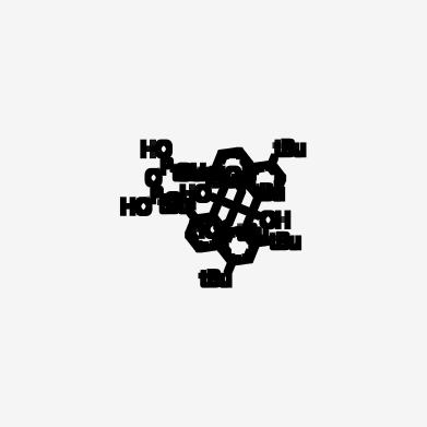 CC(C)(C)c1ccc(C(O)(c2ccc(C(C)(C)C)cc2C(C)(C)C)C(CO)(CO)C(O)(c2c(C(C)(C)C)cccc2C(C)(C)C)c2c(C(C)(C)C)cccc2C(C)(C)C)c(C(C)(C)C)c1.OP(O)OP(O)O